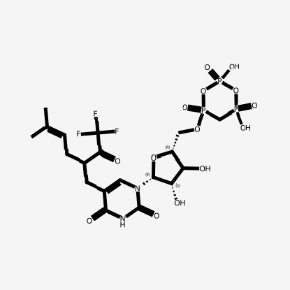 CC(C)=CCC(Cc1cn([C@@H]2O[C@H](COP3(=O)CP(=O)(O)OP(=O)(O)O3)C(O)[C@@H]2O)c(=O)[nH]c1=O)C(=O)C(F)(F)F